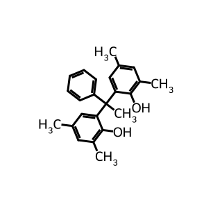 Cc1cc(C)c(O)c(C(C)(c2ccccc2)c2cc(C)cc(C)c2O)c1